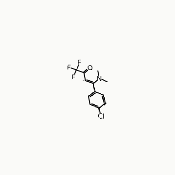 CN(C)/C(=[C]\C(=O)C(F)(F)F)c1ccc(Cl)cc1